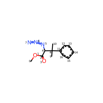 COC(=O)C(N=[N+]=[N-])C(C)(C)c1ccccc1